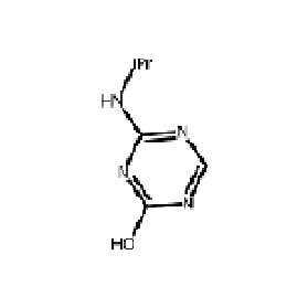 CC(C)Nc1ncnc(O)n1